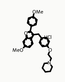 COc1ccc(-c2oc3cc(OC)ccc3c2Cc2ccc(OCCN3CCCCC3)cc2)cc1.Cl